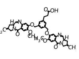 C=C1C[C@H]2C=Nc3cc(OCc4cc(CCC(=O)O)cc(COc5cc6c(cc5OC)C(=O)N5CC(=C)C[C@H]5C=N6)c4)c(OC)cc3C(=O)N2C1